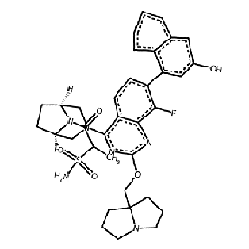 CC(C(=O)N1[C@@H]2CC[C@H]1CN(c1nc(OCC34CCCN3CCC4)nc3c(F)c(-c4cc(O)cc5ccccc45)ccc13)C2)S(N)(=O)=O